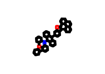 Cc1ccccc1N(c1c2ccccc2c(-c2ccc3c(c2)oc2c4cccc5ccc6cccc(c32)c6c54)c2ccccc12)c1cccc2c1oc1ccccc12